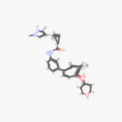 Cn1cc([C@@H]2C[C@H]2C(=O)Nc2cccc(-c3ccc(OC4CCOCC4)c(C#N)c3)c2)cn1